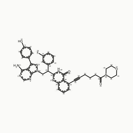 Nc1ncnc2c1c(-c1ccc(O)cc1)nn2CC(c1cccc(F)c1)c1nc2cccc(C#CCCCC(=O)N3CCOCC3)c2c(=O)[nH]1